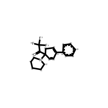 O=C(C(F)(F)F)C1(N2CCCCC2)C=CC(c2ccccc2)=CC1